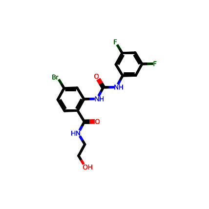 O=C(Nc1cc(F)cc(F)c1)Nc1cc(Br)ccc1C(=O)NCCO